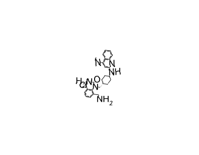 CN(C)c1cc(N[C@H]2CC[C@@H](CN(C(N)=O)c3c(Cl)cccc3CN)CC2)nc2ccccc12